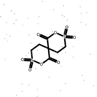 O=C1OS(=O)(=O)CCC12CCS(=O)(=O)OC2=O